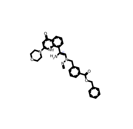 C=NN(/C=C(\N)c1cccc2c(=O)cc(N3CCOCC3)[nH]c12)Cc1cccc(C(=O)OCc2ccccc2)c1